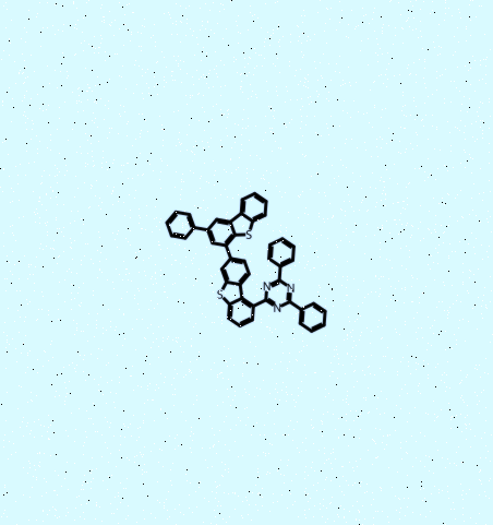 c1ccc(-c2cc(-c3ccc4c(c3)sc3cccc(-c5nc(-c6ccccc6)nc(-c6ccccc6)n5)c34)c3sc4ccccc4c3c2)cc1